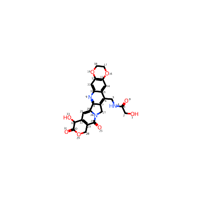 O=C(CO)NCc1c2c(nc3cc4c(cc13)OCCO4)-c1cc3c(c(=O)n1C2)COC(=O)C3O